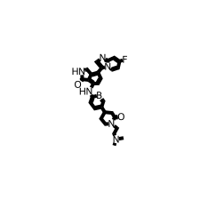 CN(C)CCN1CCC(c2cbc(Nc3ccc(-c4cnc5cc(F)ccn45)c4c3C(=O)NC4)cc2)CC1=O